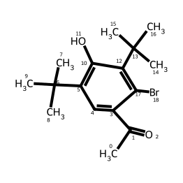 CC(=O)c1cc(C(C)(C)C)c(O)c(C(C)(C)C)c1Br